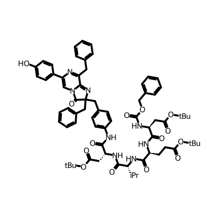 CC(C)[C@@H](NC(=O)[C@H](CCC(=O)OC(C)(C)C)NC(=O)[C@H](CC(=O)OC(C)(C)C)NC(=O)OCc1ccccc1)C(=O)N[C@H](CC(=O)OC(C)(C)C)C(=O)Nc1ccc(CC2(Cc3ccccc3)N=C3C(Cc4ccccc4)=NC(c4ccc(O)cc4)=CN3C2=O)cc1